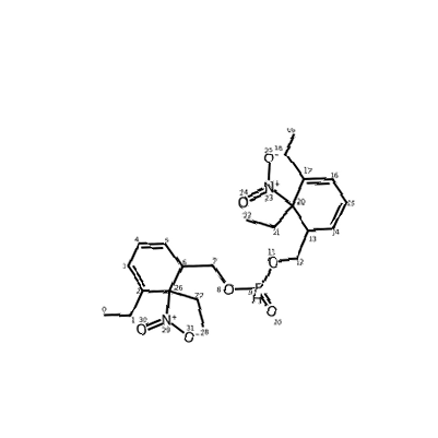 CCC1=CC=CC(CO[PH](=O)OCC2C=CC=C(CC)C2(CC)[N+](=O)[O-])C1(CC)[N+](=O)[O-]